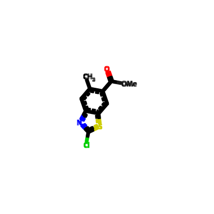 COC(=O)c1cc2sc(Cl)nc2cc1C